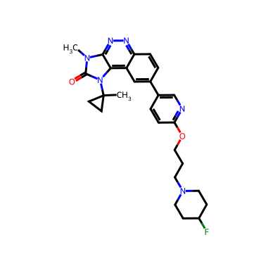 Cn1c(=O)n(C2(C)CC2)c2c3cc(-c4ccc(OCCCN5CCC(F)CC5)nc4)ccc3nnc21